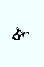 CI1(=O)OC(=O)c2ccccc21